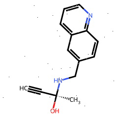 C#C[C@](C)(O)NCc1ccc2ncccc2c1